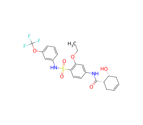 CCOc1cc(NC(=O)[C@H]2CC=CC[C@H]2O)ccc1S(=O)(=O)Nc1cccc(OC(F)(F)F)c1